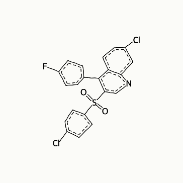 O=S(=O)(c1ccc(Cl)cc1)c1cnc2cc(Cl)ccc2c1-c1ccc(F)cc1